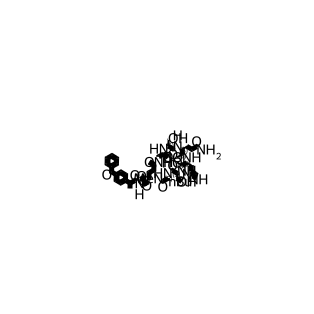 CCCC[C@H](NC(=O)[C@H](CO)N[C@@H](O)[C@H](Cc1c[nH]cn1)N[C@@H](O)[C@H](CCC(N)=O)NC(=O)[C@H](CO)NC(=O)CNC(=O)CCCS(=O)(=O)NC(=O)C(C)c1ccc(C(=O)c2ccccc2)cc1)C(=O)NC